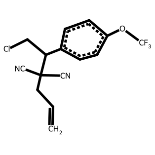 C=CCC(C#N)(C#N)C(CCl)c1ccc(OC(F)(F)F)cc1